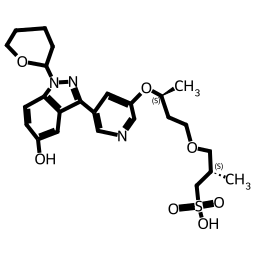 C[C@@H](COCC[C@H](C)Oc1cncc(-c2nn(C3CCCCO3)c3ccc(O)cc23)c1)CS(=O)(=O)O